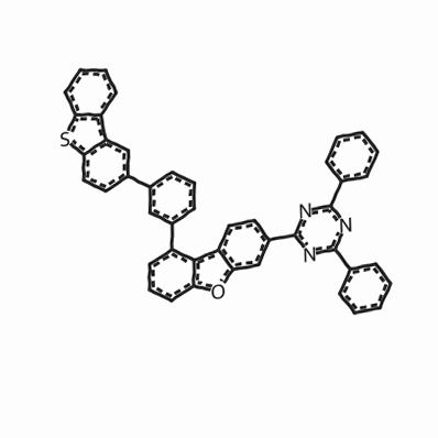 c1ccc(-c2nc(-c3ccccc3)nc(-c3ccc4c(c3)oc3cccc(-c5cccc(-c6ccc7sc8ccccc8c7c6)c5)c34)n2)cc1